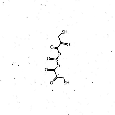 O=C(CS)C(=O)OS(=O)OC(=O)C(=O)CS